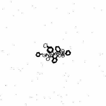 O=C(NOCc1ccccc1)[C@@H]1c2ccccc2C(=O)N(C2CCCC[C@@H]2NS(=O)(=O)c2ccccc2)[C@H]1c1ccc(Cl)cc1